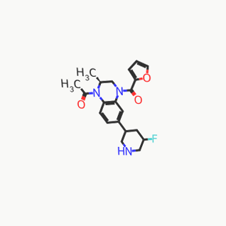 CC(=O)N1c2ccc(C3CNCC(F)C3)cc2N(C(=O)c2ccco2)C[C@@H]1C